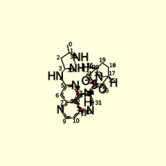 CC1CC(Nc2cc3ncccc3c(NC3C[C@H]4CC[C@@H](C3)N4S(=O)(=O)c3cccnc3)n2)NN1